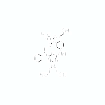 C/C=C/c1ccc(Nc2nc(Nc3ccccc3)nc(N(CCO)CCO)n2)cc1S(=O)(=O)OC